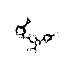 CC[C@H](F)[C@H]1CN(c2ncc(C(F)(F)F)cn2)C(=O)N1CC(=O)Nc1cc(C2CC2)ccn1